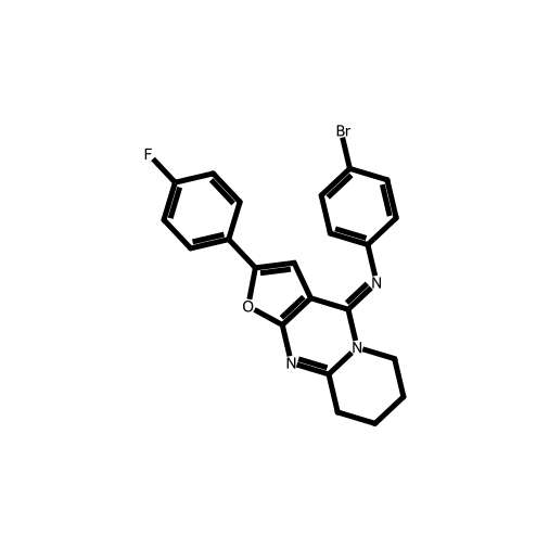 Fc1ccc(-c2cc3/c(=N\c4ccc(Br)cc4)n4c(nc3o2)CCCC4)cc1